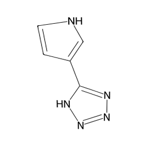 c1cc(-c2nnn[nH]2)c[nH]1